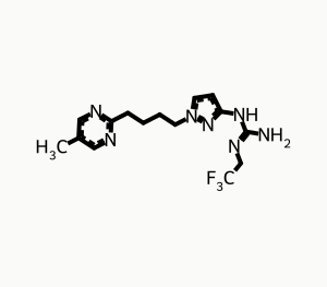 Cc1cnc(CCCCn2ccc(NC(N)=NCC(F)(F)F)n2)nc1